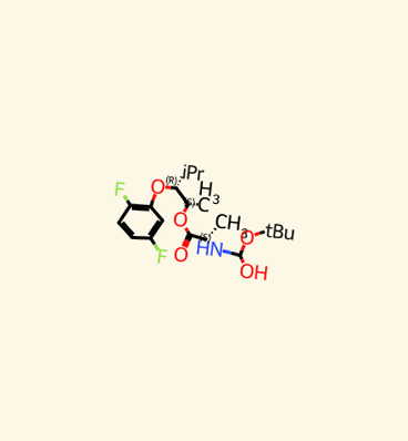 CC(C)[C@@H](Oc1cc(F)ccc1F)[C@H](C)OC(=O)[C@H](C)NC(O)OC(C)(C)C